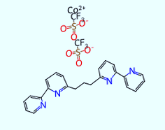 O=S(=O)([O-])C(F)(F)F.O=S(=O)([O-])C(F)(F)F.[Co+2].c1ccc(-c2cccc(CCCc3cccc(-c4ccccn4)n3)n2)nc1